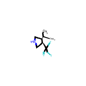 CC(C)[C@H]1CNC[C@@H]1C(F)(F)F